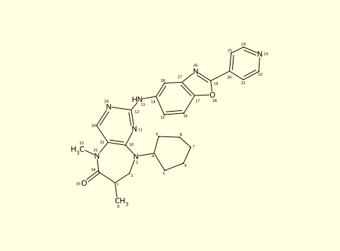 CC1CN(C2CCCCC2)c2nc(Nc3ccc4oc(-c5ccncc5)nc4c3)ncc2N(C)C1=O